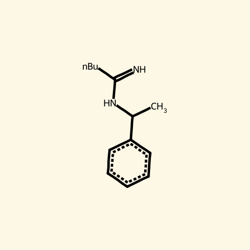 CCCCC(=N)NC(C)c1ccccc1